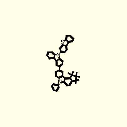 CC1(C)c2ccc3c(c2C(C)(C)C1(C)C)c1cc(-c2ccc4c(c2)c2ccccc2n4-c2ccc4c(c2)sc2ccccc24)ccc1n3-c1ccccc1